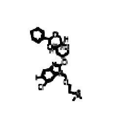 C[Si](C)(C)CCOCn1c(O[C@H]2CO[C@@H]3COC(c4ccccc4)O[C@H]3C2)nc2cc(I)c(Cl)cc21